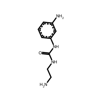 NCCNC(=O)Nc1cccc(N)c1